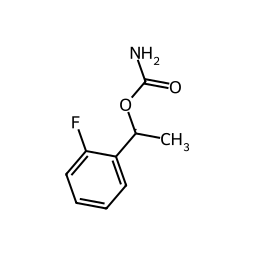 C[C](OC(N)=O)c1ccccc1F